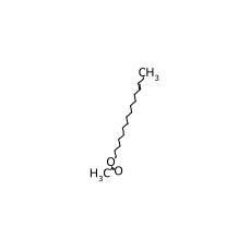 CCC=CCCCCCCCCCCCCOC(C)=O